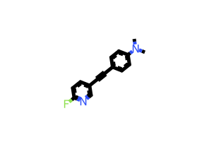 CN(C)c1ccc(C#Cc2ccc(F)nc2)cc1